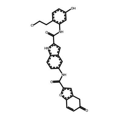 O=C1C=Cc2oc(C(=O)Nc3ccc4[nH]c(C(=O)Nc5cc(O)ccc5CCCl)cc4c3)cc2C1